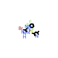 Cc1cncc(CSc2nc3[nH]nc(Br)c3c(=N)n2-c2c(F)ccc(F)c2F)c1